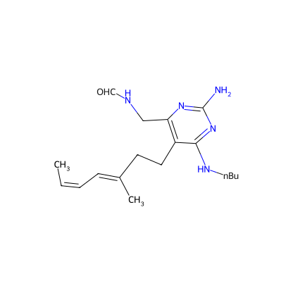 C/C=C\C=C(/C)CCc1c(CNC=O)nc(N)nc1NCCCC